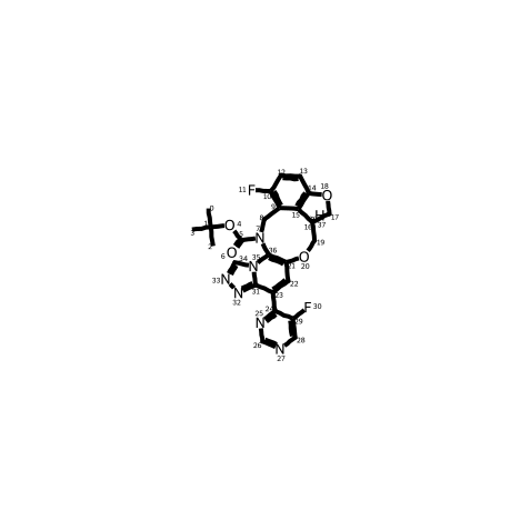 CC(C)(C)OC(=O)N1Cc2c(F)ccc3c2[C@H](CO3)COc2cc(-c3ncncc3F)c3nncn3c21